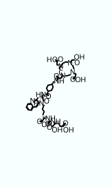 O=C(O)CC[C@H](NC(=O)N[C@@H](CCCCNC(=O)[C@H](Cc1ccc2ccccc2n1)NC(=O)C1CCC(CNC(=O)CN2CCN(CC(=O)O)CCN(CC(=O)O)CCN(CC(=O)O)CC2)CC1)C(=O)O)C(=O)O